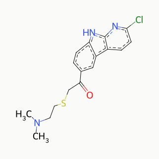 CN(C)CCSCC(=O)c1ccc2[nH]c3nc(Cl)ccc3c2c1